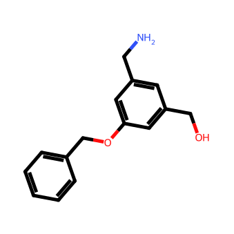 NCc1cc(CO)cc(OCc2ccccc2)c1